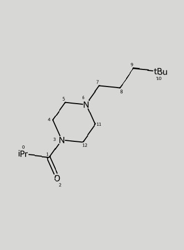 CC(C)C(=O)N1CCN(CCCC(C)(C)C)CC1